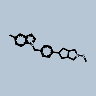 CSN1CC2CC(c3ccc(Cn4ccc5cc(C)ccc54)cc3)CC2C1